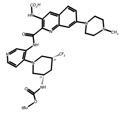 CN1CCN(c2ccc3cc(NC(=O)O)c(C(=O)Nc4cnccc4N4C[C@@H](NC(=O)OC(C)(C)C)C[C@@H](C(F)(F)F)C4)nc3c2)CC1